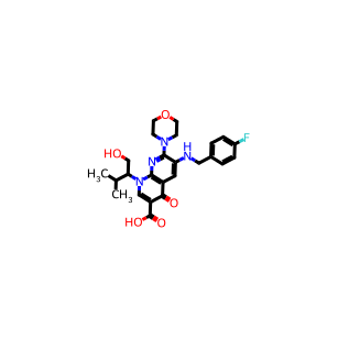 CC(C)C(CO)n1cc(C(=O)O)c(=O)c2cc(NCc3ccc(F)cc3)c(N3CCOCC3)nc21